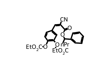 CCCC(OC(=O)C(C#N)=Cc1ccc(OC(=O)OCC)c(OC(=O)OCC)c1)c1ccccc1